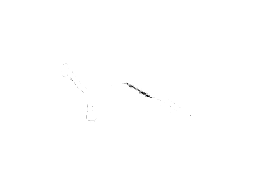 C#CCP(=O)=O